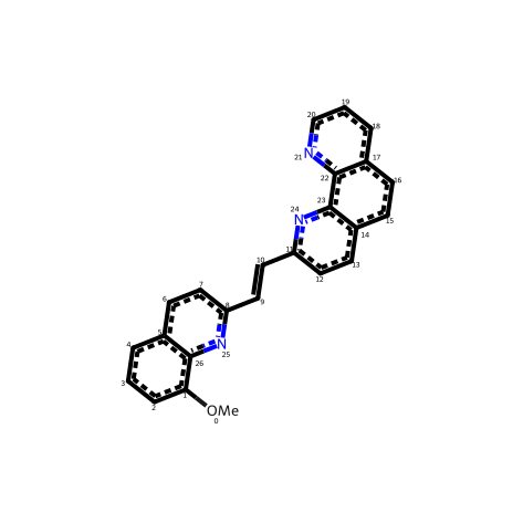 COc1cccc2ccc(/C=C/c3ccc4ccc5cccnc5c4n3)nc12